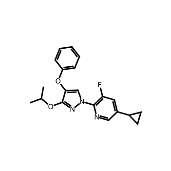 CC(C)Oc1nn(-c2ncc(C3CC3)cc2F)cc1Oc1ccccc1